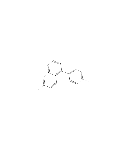 Oc1ccc(-c2cccc3nc(Cl)ccc23)cc1